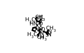 Cc1nnsc1C(=O)N[C@H](C(=O)N1CCC[C@H]1C(=O)N[C@H](C(=O)C(F)(F)F)C(C)C)C(C)C